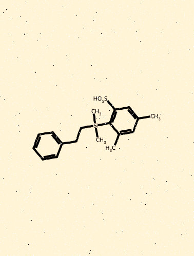 Cc1cc(C)c([Si](C)(C)CCc2ccccc2)c(S(=O)(=O)O)c1